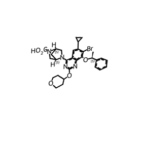 C[C@H](Oc1c(Br)c(C2CC2)cc2c(N3C[C@@H]4C[C@H]3CN4C(=O)O)nc(OC3CCOCC3)nc12)c1ccccc1